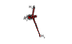 CC#CC#CC#CC#CC#CC#CC#CC#CC#CC#CC#CC#CC(=O)N[C@@H](CO[C@H]1OC(CO)[C@H](O)[C@H](C)C1C)[C@H](OCc1ccccc1)[C@H](C)CC=CCCCCCCCCCCC